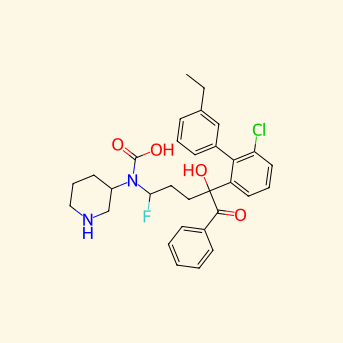 CCc1cccc(-c2c(Cl)cccc2C(O)(CCC(F)N(C(=O)O)C2CCCNC2)C(=O)c2ccccc2)c1